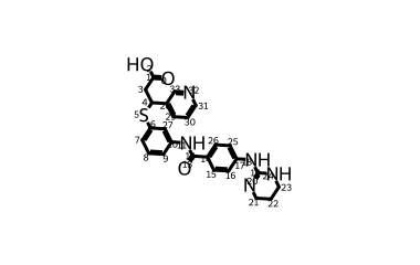 O=C(O)CC(Sc1cccc(NC(=O)c2ccc(NC3=NCCCN3)cc2)c1)c1cccnc1